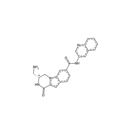 NC[C@@H]1Cn2c(cc3ccc(C(=O)Nc4cnc5ccccc5c4)cc32)C(=O)N1